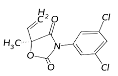 C=C[C@]1(C)OC(=O)N(c2cc(Cl)cc(Cl)c2)C1=O